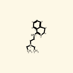 CCN(CC)CCNC1=NCCc2ccccc21